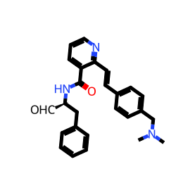 CN(C)Cc1ccc(/C=C/c2ncccc2C(=O)N[C@H](C=O)Cc2ccccc2)cc1